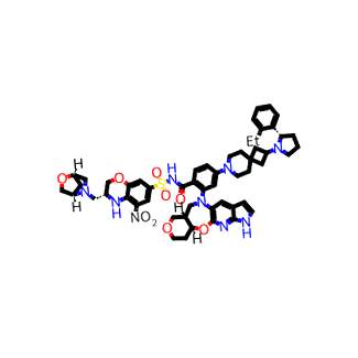 CCc1ccccc1[C@@H]1CCCN1C1CC2(CCN(c3ccc(C(=O)NS(=O)(=O)c4cc5c(c([N+](=O)[O-])c4)N[C@H](CN4C[C@H]6C[C@@H]4CO6)CO5)c(N4C[C@H]5COCC[C@@H]5Oc5nc6[nH]ccc6cc54)c3)CC2)C1